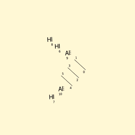 CC.CC.CC.I.I.I.[Al].[Al]